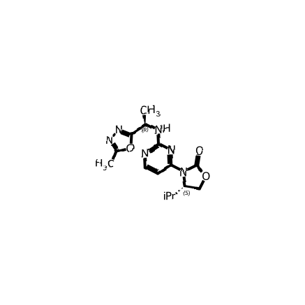 Cc1nnc([C@@H](C)Nc2nccc(N3C(=O)OC[C@@H]3C(C)C)n2)o1